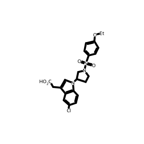 CCOc1ccc(S(=O)(=O)N2CCC(n3cc(CC(=O)O)c4cc(Cl)ccc43)C2)cc1